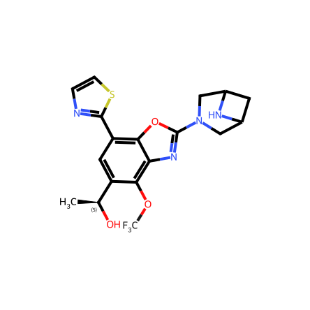 C[C@H](O)c1cc(-c2nccs2)c2oc(N3CC4CC(C3)N4)nc2c1OC(F)(F)F